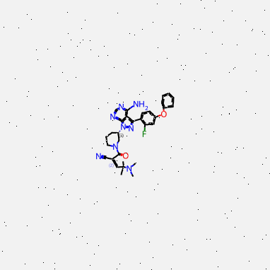 CN(C)C(C)(C)/C=C(/C#N)C(=O)N1CCC[C@H](n2nc(-c3ccc(Oc4ccccc4)cc3F)c3c(N)ncnc32)C1